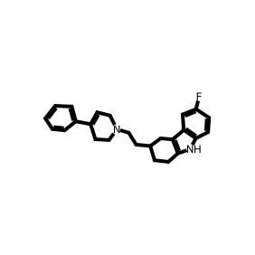 Fc1ccc2[nH]c3c(c2c1)CC(CCN1CC=C(c2ccccc2)CC1)CC3